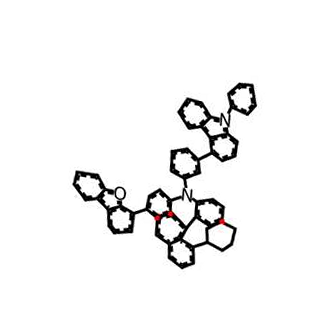 c1ccc(-n2c3ccccc3c3c(-c4cccc(N(c5ccc(-c6cccc7c6oc6ccccc67)cc5)c5ccccc5-c5cccc6cccc(C7CCCCC7)c56)c4)cccc32)cc1